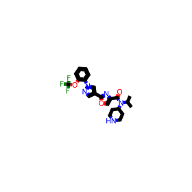 CC(C)N(C(=O)c1coc(-c2cnn(-c3ccccc3OC(F)(F)F)c2)n1)C1CCNCC1